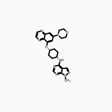 Cn1ncc2c(N[C@H]3CC[C@@H](Oc4cc(N5CCOCC5)cc5nccnc45)CC3)ncnc21